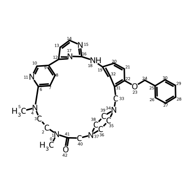 CN1CCN(C)c2ccc(cn2)-c2ccnc(n2)Nc2ccc(OCc3ccccc3)c(c2)CN2CCN(CC2)CC1=O